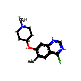 COc1cc2c(Cl)ncnc2cc1OC1CCN(C(=O)O)CC1